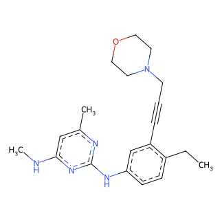 CCc1ccc(Nc2nc(C)cc(NC)n2)cc1C#CCN1CCOCC1